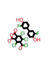 O=C(Cl)c1c(Cl)c(Cl)c2c(c1Cl)C(=O)OC2=O.Oc1ccc(-c2ccc(O)c(F)c2)cc1F